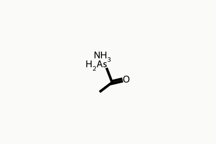 CC(=O)[AsH2].N